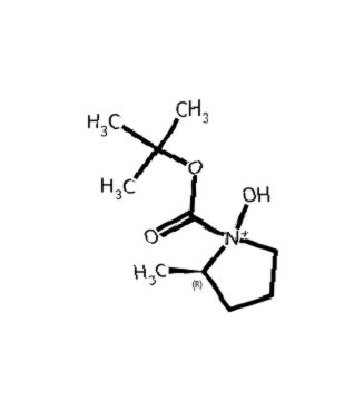 C[C@@H]1CCC[N+]1(O)C(=O)OC(C)(C)C